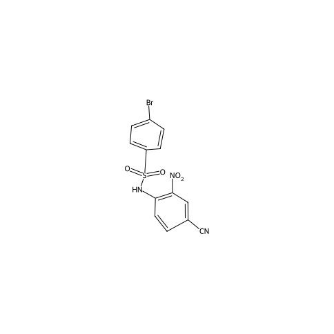 N#Cc1ccc(NS(=O)(=O)c2ccc(Br)cc2)c([N+](=O)[O-])c1